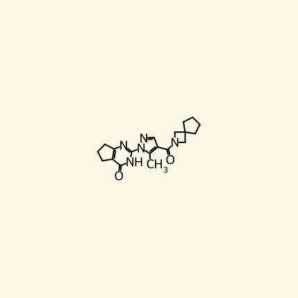 Cc1c(C(=O)N2CC3(CCCC3)C2)cnn1-c1nc2c(c(=O)[nH]1)CCC2